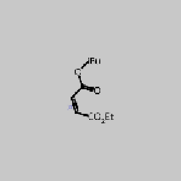 CCOC(=O)/C=C\C(=O)OC(C)CC